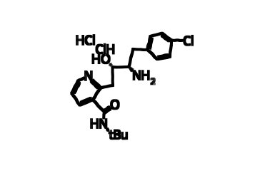 CC(C)(C)NC(=O)c1cccnc1C[C@H](O)[C@H](N)Cc1ccc(Cl)cc1.Cl.Cl